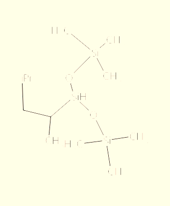 C[C](CC(C)C)[SiH](O[Si](C)(C)C)O[Si](C)(C)C